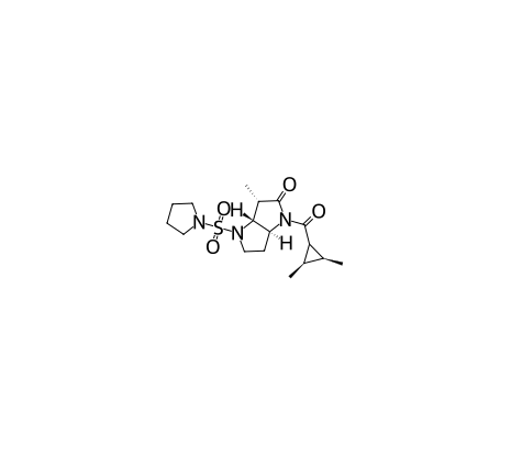 C[C@@H]1C(=O)N(C(=O)C2[C@@H](C)[C@H]2C)[C@H]2CCN(S(=O)(=O)N3CCCC3)[C@H]12